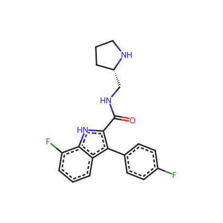 O=C(NC[C@@H]1CCCN1)c1[nH]c2c(F)cccc2c1-c1ccc(F)cc1